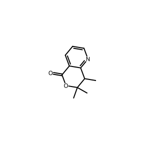 CC1c2ncccc2C(=O)OC1(C)C